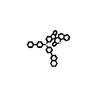 c1ccc(-c2ccc(N(c3ccc(-c4ccc5c(c4)CCCC5)cc3)c3ccc4c(c3)C3(c5ccccc5Oc5c3ccc3ccccc53)c3ccccc3-4)cc2)cc1